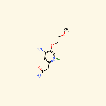 COCCOc1cnc(CC(N)=O)cc1N.Cl